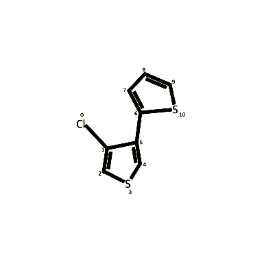 Clc1[c]scc1-c1cccs1